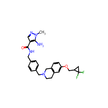 Cn1ncc(C(=O)NCc2ccc(CN3CCc4cc(OCC5CC5(F)F)ccc4C3)cc2)c1N